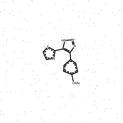 COc1ccc(C2=C(c3nccs3)N[N+]=N2)cc1